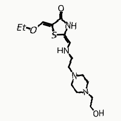 CCO/C=c1\sc(=CNCCN2CCN(CCO)CC2)[nH]c1=O